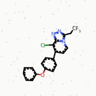 FC(F)(F)Cc1nnc2c(Cl)c(-c3ccc(Oc4ccccc4)cc3)ccn12